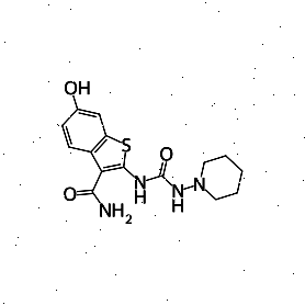 NC(=O)c1c(NC(=O)NN2CCCCC2)sc2cc(O)ccc12